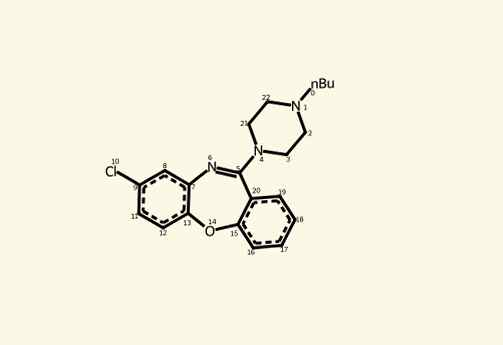 CCCCN1CCN(C2=Nc3cc(Cl)ccc3Oc3ccccc32)CC1